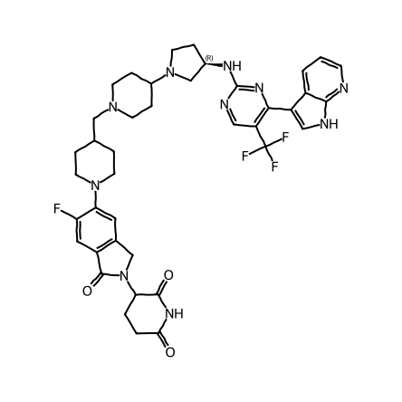 O=C1CCC(N2Cc3cc(N4CCC(CN5CCC(N6CC[C@@H](Nc7ncc(C(F)(F)F)c(-c8c[nH]c9ncccc89)n7)C6)CC5)CC4)c(F)cc3C2=O)C(=O)N1